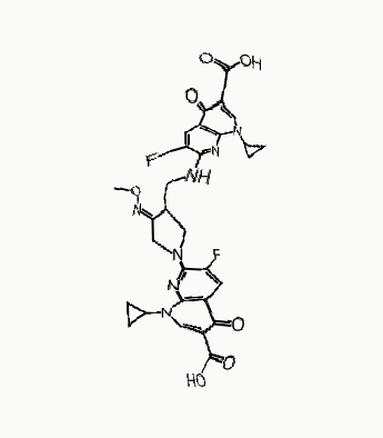 CON=C1CN(c2nc3c(cc2F)c(=O)c(C(=O)O)cn3C2CC2)CC1CNc1nc2c(cc1F)c(=O)c(C(=O)O)cn2C1CC1